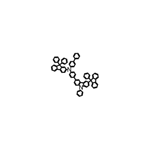 c1ccc(-c2ccc(N(c3ccc(-c4ccc5c(c4)c4cc(C6(c7ccccc7)c7ccccc7-c7ccccc76)ccc4n5-c4ccccc4)cc3)c3ccc4c(c3)C(c3ccccc3)(c3ccccc3)c3ccccc3-4)cc2)cc1